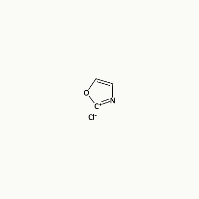 [C+]1=NC=CO1.[Cl-]